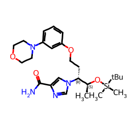 C[C@H](O[Si](C)(C)C(C)(C)C)[C@@H](CCOc1cccc(N2CCOCC2)c1)n1cnc(C(N)=O)c1